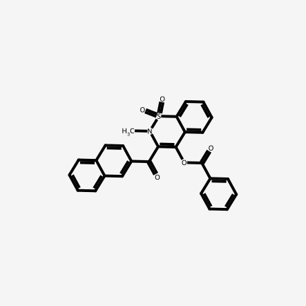 CN1C(C(=O)c2ccc3ccccc3c2)=C(OC(=O)c2ccccc2)c2ccccc2S1(=O)=O